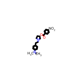 CN(C)c1ccc(CCN2CC[C@H](OC(=O)c3ccc([N+](=O)[O-])cc3)C2)cc1